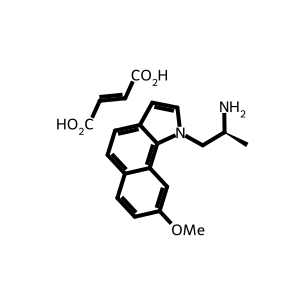 COc1ccc2ccc3ccn(C[C@H](C)N)c3c2c1.O=C(O)C=CC(=O)O